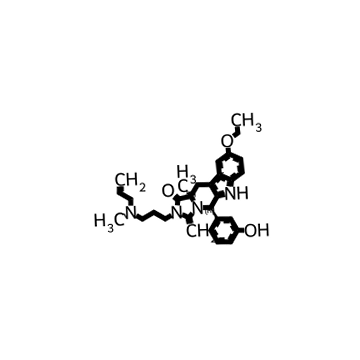 C=CCN(C)CCCN1C(=C)N2[C@H](c3cccc(O)c3)c3[nH]c4ccc(OCC)cc4c3C[C@@]2(C)C1=O